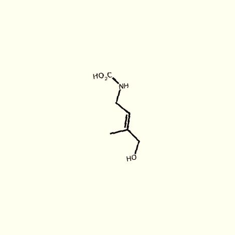 C/C(=C\CNC(=O)O)CO